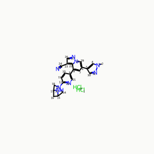 Cl.Cl.Cn1cc(-c2cc(-c3ccc(N4CC5CC(C4)N5)nc3)c3c(C#N)cnn3c2)cn1